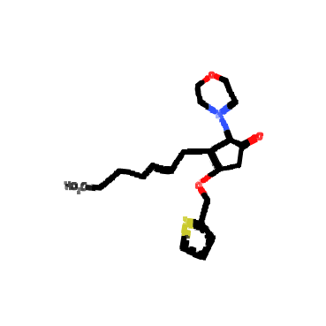 O=C(O)CCCC=CCC1C(OCc2cccs2)CC(=O)C1N1CCOCC1